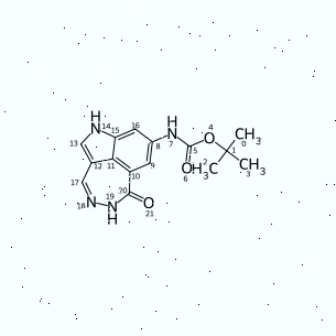 CC(C)(C)OC(=O)Nc1cc2c3c(c[nH]c3c1)C=NNC2=O